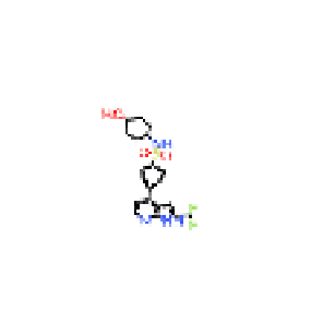 O=S(=O)(NC1CCC(O)CC1)c1ccc(-c2ccnc3[nH]c(C(F)F)cc23)cc1